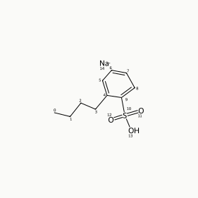 CCCCc1ccccc1S(=O)(=O)O.[Na]